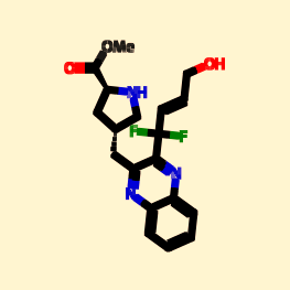 COC(=O)[C@@H]1C[C@@H](Cc2nc3ccccc3nc2C(F)(F)/C=C/CO)CN1